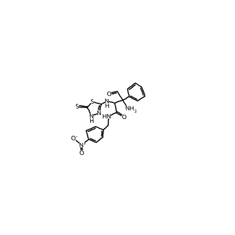 NC(C=O)(c1ccccc1)C(Nc1n[nH]c(=S)s1)C(=O)NCc1ccc([N+](=O)[O-])cc1